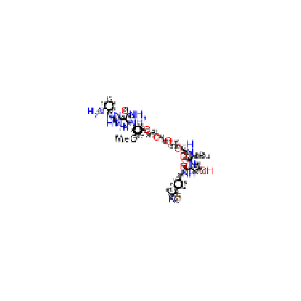 COc1cc(Nc2ncn3cc(N[C@H]4CCCC[C@H]4N)nc3c2C(N)=O)cc(OCCOCCOCCOCC(=O)N[C@H](C(=O)N2C[C@H](O)C[C@H]2C(=O)NCc2ccc(-c3scnc3C)cc2)C(C)(C)C)c1